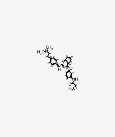 C=CC(=O)Nc1cccc(Oc2nc(Nc3ccc(CCN(C)C)cc3)nc3ccsc23)c1